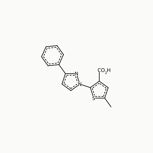 Cc1cc(C(=O)O)c(-n2ccc(-c3ccccc3)n2)s1